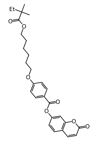 CCC(C)(C)C(=O)OCCCCCCOc1ccc(C(=O)Oc2ccc3ccc(=O)oc3c2)cc1